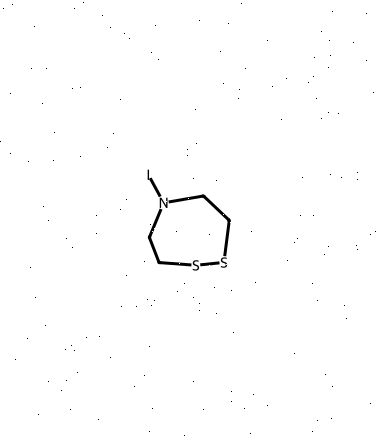 IN1CCSSCC1